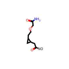 NC(=O)COCCC1CC1CC(=O)N=O